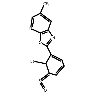 CCC1C(c2nc3cc(C(F)(F)F)cnc3o2)=CC=CC1=S=O